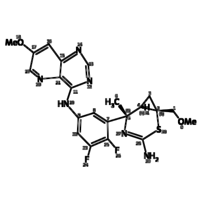 COC[C@]12C[C@H]1[C@@](C)(c1cc(Nc3ncnc4cc(OC)cnc34)cc(F)c1F)N=C(N)S2